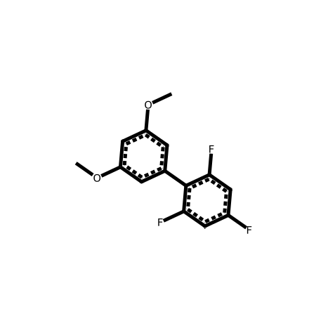 COc1cc(OC)cc(-c2c(F)[c]c(F)cc2F)c1